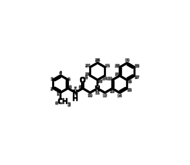 Cc1ccccc1NC(=O)CN(Cc1ccc2ccccc2c1)C1CCCCC1